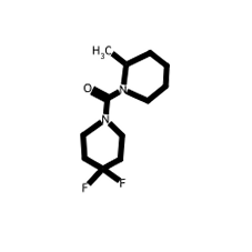 CC1CCCCN1C(=O)N1CCC(F)(F)CC1